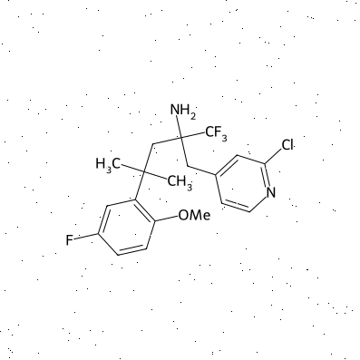 COc1ccc(F)cc1C(C)(C)CC(N)(Cc1ccnc(Cl)c1)C(F)(F)F